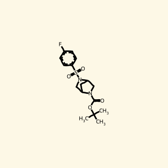 CC(C)(C)OC(=O)N1CC2CC1CN2S(=O)(=O)c1ccc(F)cc1